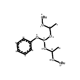 CCCCOC(C)OP(Oc1ccccc1)OC(C)OCCCC